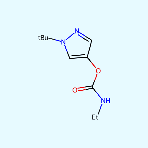 CCNC(=O)Oc1cnn(C(C)(C)C)c1